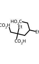 CCC(CC(=O)O)CC(CC)(CC(=O)O)C(=O)O